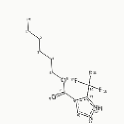 CCCCCCOC(=O)c1cn[nH]c1C(F)(F)F